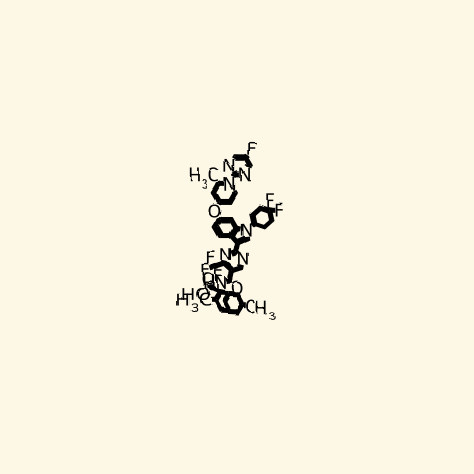 CC1CC2CC(C)C(NC(=O)c3cnc(-c4cn(C5CCC(F)(F)CC5)c5cc(OC6CCN(c7ncc(F)cn7)C(C)C6)ccc45)nc3C(F)(F)F)(C(=O)O)C(C1)C2